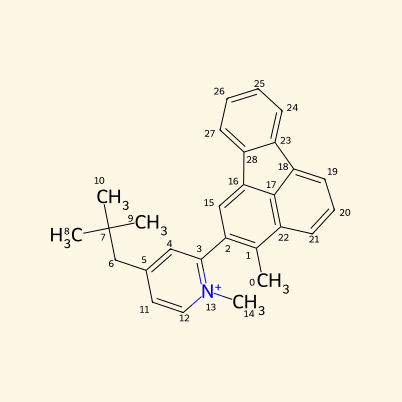 Cc1c(-c2cc(CC(C)(C)C)cc[n+]2C)cc2c3c(cccc13)-c1ccccc1-2